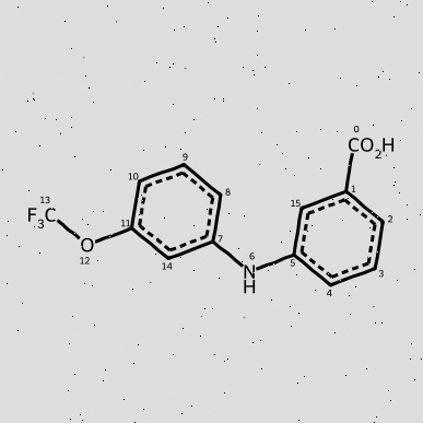 O=C(O)c1cccc(Nc2cccc(OC(F)(F)F)c2)c1